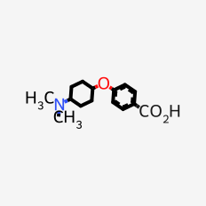 CN(C)C1CCC(Oc2ccc(C(=O)O)cc2)CC1